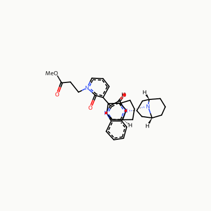 COC(=O)CCn1cccc(-c2nc3ccccc3n([C@H]3C[C@H]4CCC[C@@H](C3)N4[C@H]3C[C@@H]4CCC[C@@H](C4)C3)c2=O)c1=O